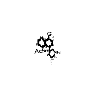 CC(=O)N[C@]1(c2ccc(C(F)(F)F)c3ncccc23)CNC[C@@H](C)C1